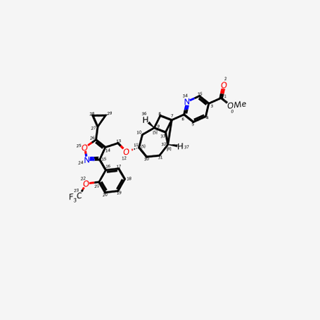 COC(=O)c1ccc(C23C[C@H]4C[C@@H](OCc5c(-c6ccccc6OC(F)(F)F)noc5C5CC5)CC[C@@H]2C43)nc1